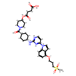 CS(=O)(=O)CCCOc1cccc2c1ccn2-c1ccnc(N[C@H]2CC[C@H](C(=O)N3CCC(OC(=O)CCC(=O)O)CC3)CC2)n1